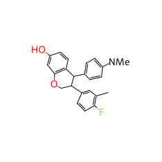 CNc1ccc(C2c3ccc(O)cc3OCC2c2ccc(F)c(C)c2)cc1